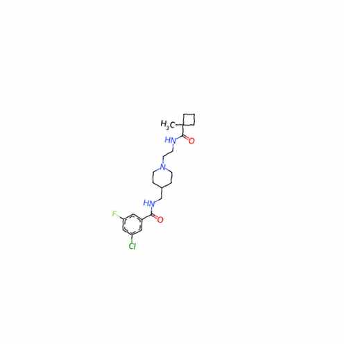 CC1(C(=O)NCCN2CCC(CNC(=O)c3cc(F)cc(Cl)c3)CC2)CCC1